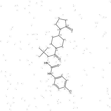 CC(C)(C)[C@@H](NC(=O)Nc1ccc(Cl)cc1)C(=O)N1CCC(N2CCCC2=O)CC1